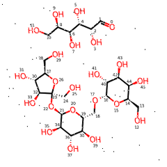 O=C[C@H](O)[C@@H](O)[C@@H](O)[C@H](O)CO.OC[C@H]1O[C@H](OC[C@H]2O[C@H](O[C@]3(CO)O[C@H](CO)[C@@H](O)[C@@H]3O)[C@H](O)[C@@H](O)[C@@H]2O)[C@H](O)[C@@H](O)[C@H]1O